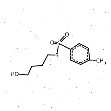 Cc1ccc(S(=O)(=O)SCCCCO)cc1